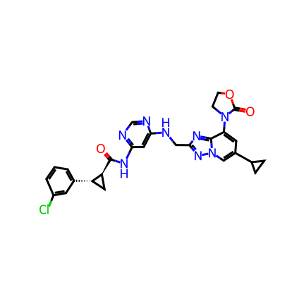 O=C(Nc1cc(NCc2nc3c(N4CCOC4=O)cc(C4CC4)cn3n2)ncn1)[C@H]1C[C@@H]1c1cccc(Cl)c1